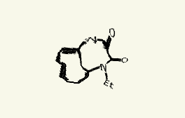 CCN1C(=O)C(=O)[N]c2ccccc21